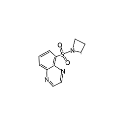 O=S(=O)(c1cccc2nccnc12)N1[CH]CC1